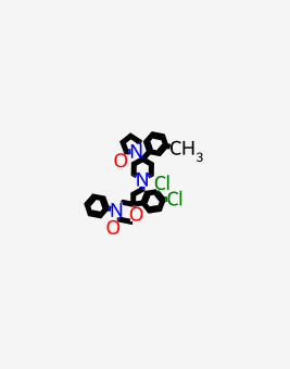 Cc1cccc(C2(N3CCCC3=O)CCN(CCC3(c4ccc(Cl)c(Cl)c4)CN(c4ccccc4)C(=O)CO3)CC2)c1